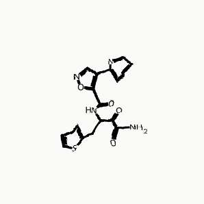 NC(=O)C(=O)C(Cc1cccs1)NC(=O)c1oncc1-c1ccccn1